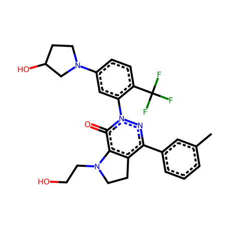 Cc1cccc(-c2nn(-c3cc(N4CCC(O)C4)ccc3C(F)(F)F)c(=O)c3c2CCN3CCO)c1